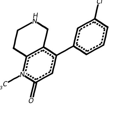 Cn1c2c(c(-c3cccc(Cl)c3)cc1=O)CNCC2